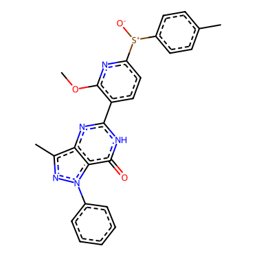 COc1nc([S+]([O-])c2ccc(C)cc2)ccc1-c1nc2c(C)nn(-c3ccccc3)c2c(=O)[nH]1